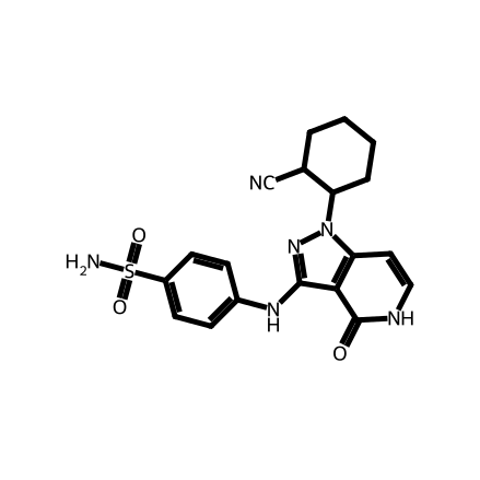 N#CC1CCCCC1n1nc(Nc2ccc(S(N)(=O)=O)cc2)c2c(=O)[nH]ccc21